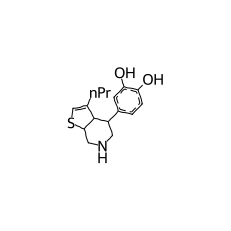 CCCC1=CSC2CNCC(c3ccc(O)c(O)c3)C12